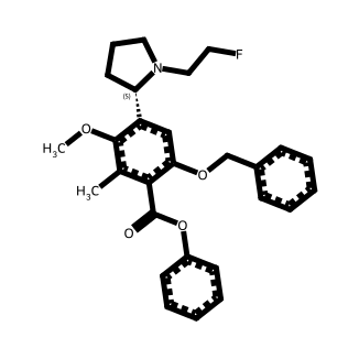 COc1c([C@@H]2CCCN2CCF)cc(OCc2ccccc2)c(C(=O)Oc2ccccc2)c1C